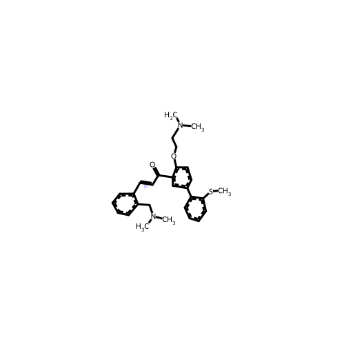 CSc1ccccc1-c1ccc(OCCN(C)C)c(C(=O)/C=C/c2ccccc2CN(C)C)c1